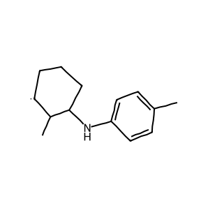 Cc1ccc(NC2CCC[CH]C2C)cc1